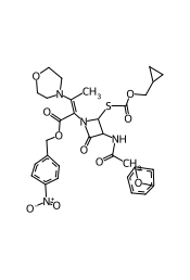 CC(=O)NC1C(=O)N(C(C(=O)OCc2ccc([N+](=O)[O-])cc2)=C(C)N2CCOCC2)C1SC(=O)OCC1CC1.c1cc2cc(c1)O2